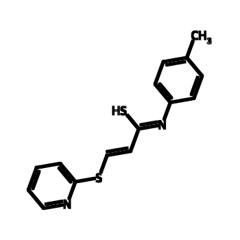 Cc1ccc(N=C(S)C=CSc2ccccn2)cc1